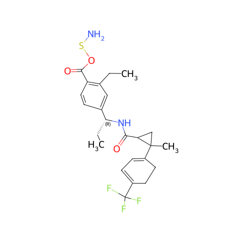 CCc1cc([C@@H](CC)NC(=O)C2CC2(C)C2=CC=C(C(F)(F)F)CC2)ccc1C(=O)OSN